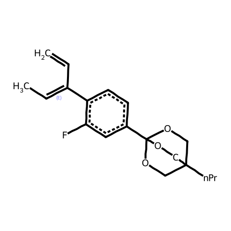 C=C/C(=C\C)c1ccc(C23OCC(CCC)(CO2)CO3)cc1F